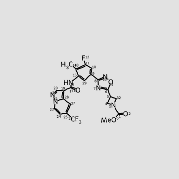 COC(=O)N1CC(c2nc(-c3cc(F)c(C)c(NC(=O)c4cnn5ccc(C(F)(F)F)cc45)c3)no2)C1